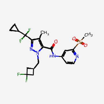 Cc1c(C(F)(F)C2CC2)nn(CC2CC(F)(F)C2)c1C(=O)Nc1ccnc(S(C)(=O)=O)c1